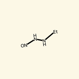 CCNNN=O